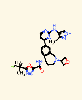 Cc1n[nH]cc1Nc1nccc(-c2ccc3c(c2)CN(C2COC2)CC[C@@H]3NC(=O)c2nnc(C(C)(C)CF)o2)n1